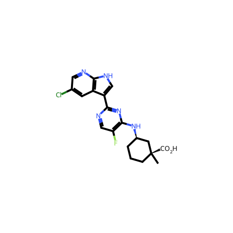 C[C@]1(C(=O)O)CCC[C@@H](Nc2nc(-c3c[nH]c4ncc(Cl)cc34)ncc2F)C1